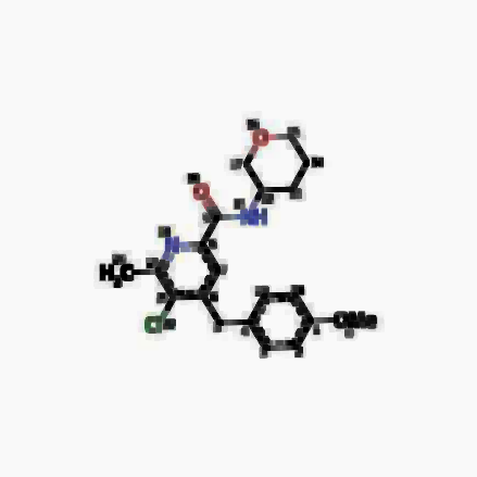 COc1ccc(Cc2cc(C(=O)NC3CCCOC3)nc(C)c2Cl)cc1